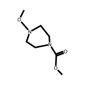 COC(=O)N1CCN(OC)CC1